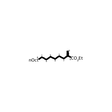 C=C(CCCCCCCCCCCCCC)C(=O)OCC